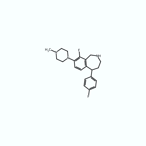 CN1CCN(c2ccc3c(c2F)CNCCC3c2ccc(F)cc2)CC1